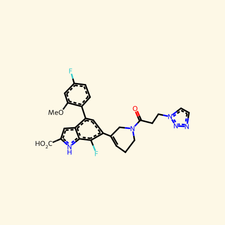 COc1cc(F)ccc1-c1cc(C2=CCCN(C(=O)CCn3ccnn3)C2)c(F)c2[nH]c(C(=O)O)cc12